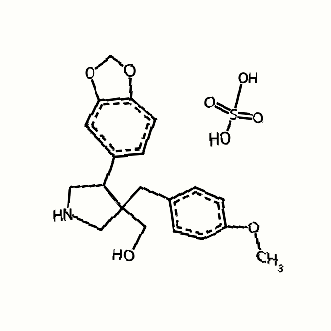 COc1ccc(CC2(CO)CNCC2c2ccc3c(c2)OCO3)cc1.O=S(=O)(O)O